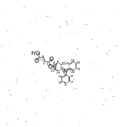 O=C(O)/C=C/C(=O)O.c1ccc(N(c2ccccc2)c2ccccc2)cc1